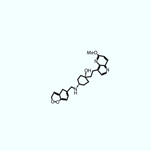 COc1ccc2nccc(CC[C@]3(O)CC[C@@H](NCC4=CC=C5OOCC=C5C4)CC3)c2n1